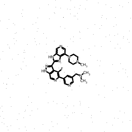 CN(C)Cc1cncc(-c2ncc3[nH]nc(-c4nc5c(N6CCN(C)CC6)cncc5[nH]4)c3c2F)c1